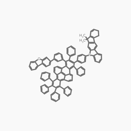 CC1(C)C2=C(CCC=C2)c2cc3c4ccccc4n(-c4ccc(-c5c(-c6ccccc6)c(-c6cccc(-c7ccc8c(c7)oc7ccccc78)c6)c6c7cccc8c9c(-c%10ccccc%10)c(-c%10ccccc%10)c(-c%10ccccc%10)c(-c%10ccccc%10)c9c9cccc(c6c5-c5ccccc5)c9c87)cc4)c3cc21